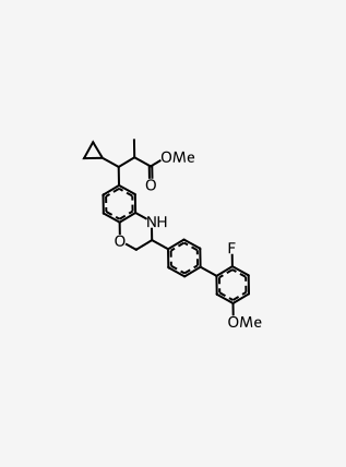 COC(=O)C(C)C(c1ccc2c(c1)NC(c1ccc(-c3cc(OC)ccc3F)cc1)CO2)C1CC1